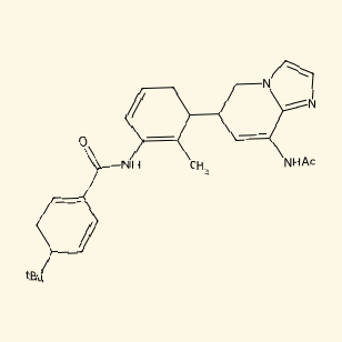 CC(=O)NC1=CC(C2CC=CC(NC(=O)C3=CCC(C(C)(C)C)C=C3)=C2C)Cn2ccnc21